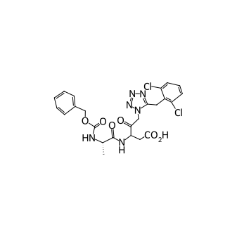 C[C@H](NC(=O)OCc1ccccc1)C(=O)NC(CC(=O)O)C(=O)Cn1nnnc1Cc1c(Cl)cccc1Cl